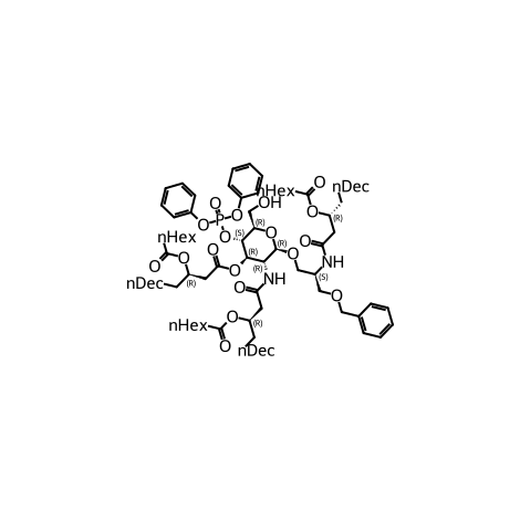 CCCCCCCCCCC[C@H](CC(=O)N[C@@H](COCc1ccccc1)CO[C@@H]1O[C@H](CO)[C@@H](OP(=O)(Oc2ccccc2)Oc2ccccc2)[C@H](OC(=O)C[C@@H](CCCCCCCCCCC)OC(=O)CCCCCC)[C@H]1NC(=O)C[C@@H](CCCCCCCCCCC)OC(=O)CCCCCC)OC(=O)CCCCCC